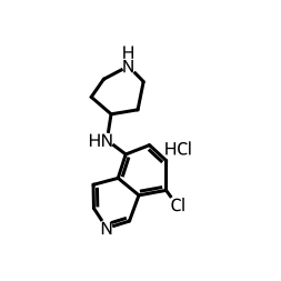 Cl.Clc1ccc(NC2CCNCC2)c2ccncc12